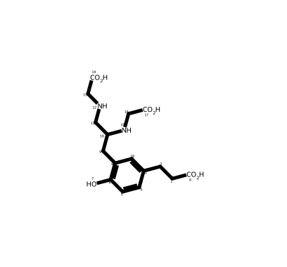 O=C(O)CCc1ccc(O)c(CC(CNCC(=O)O)NCC(=O)O)c1